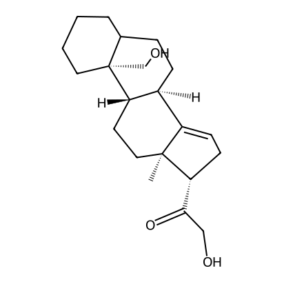 C[C@]12CC[C@H]3[C@@H](CCC4CCCC[C@@]43CO)C1=CC[C@@H]2C(=O)CO